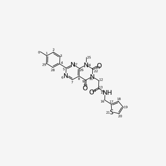 Cc1ccc(-c2ncc3c(=O)n(CC(=O)NCc4cccs4)c(=O)n(C)c3n2)cc1